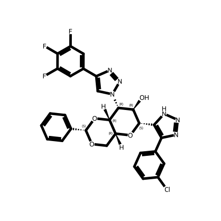 O[C@@H]1[C@@H](n2cc(-c3cc(F)c(F)c(F)c3)nn2)[C@H]2O[C@@H](c3ccccc3)OC[C@H]2O[C@H]1c1[nH]nnc1-c1cccc(Cl)c1